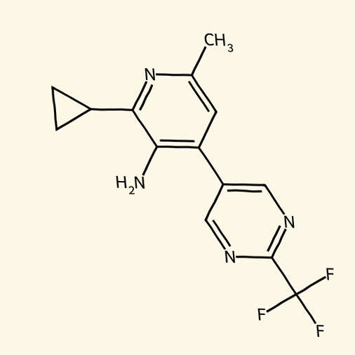 Cc1cc(-c2cnc(C(F)(F)F)nc2)c(N)c(C2CC2)n1